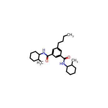 CCCCc1cc(C(=O)NC2CCCCC2C)cc(C(=O)NC2CCCCC2C)c1